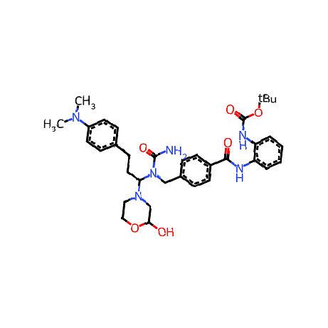 CN(C)c1ccc(CCC(N2CCOC(O)C2)N(Cc2ccc(C(=O)Nc3ccccc3NC(=O)OC(C)(C)C)cc2)C(N)=O)cc1